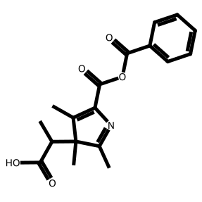 CC1=NC(C(=O)OC(=O)c2ccccc2)=C(C)C1(C)C(C)C(=O)O